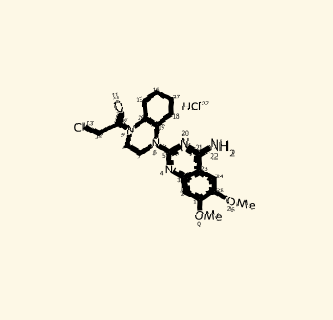 COc1cc2nc(N3CCN(C(=O)CCl)C4CCCCC43)nc(N)c2cc1OC.Cl